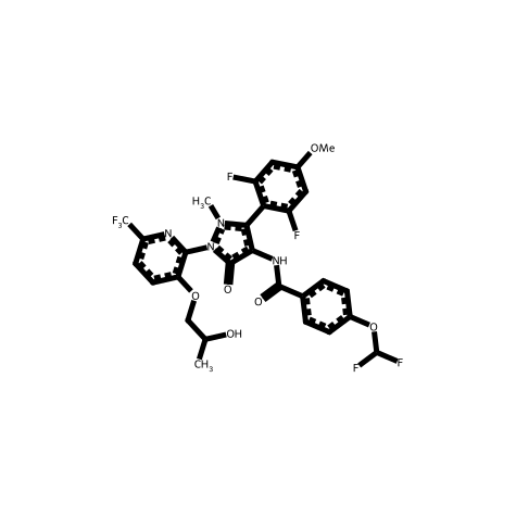 COc1cc(F)c(-c2c(NC(=O)c3ccc(OC(F)F)cc3)c(=O)n(-c3nc(C(F)(F)F)ccc3OCC(C)O)n2C)c(F)c1